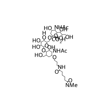 CNC(=O)CCCCC(=O)NCCCO[C@@H]1CC(CO)[C@@H](O[C@@H]2OC(CO[C@]3(C(=O)O)C[C@@H](O)[C@@H](NC(C)=O)C(C(O)C(O)CO)O3)[C@H](O)C(O)[C@@H]2O)C(O)[C@@H]1NC(C)=O